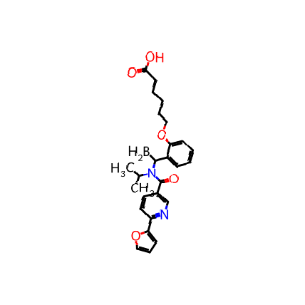 BC(c1ccccc1OCCCCCC(=O)O)N(C(=O)c1ccc(-c2ccco2)nc1)C(C)C